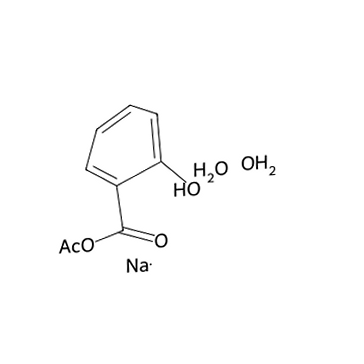 CC(=O)OC(=O)c1ccccc1O.O.O.[Na]